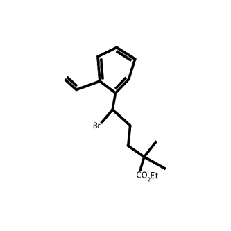 C=Cc1ccccc1C(Br)CCC(C)(C)C(=O)OCC